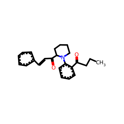 CCCC(=O)c1ccccc1N1CCCCC1C(=O)/C=C/c1ccccc1